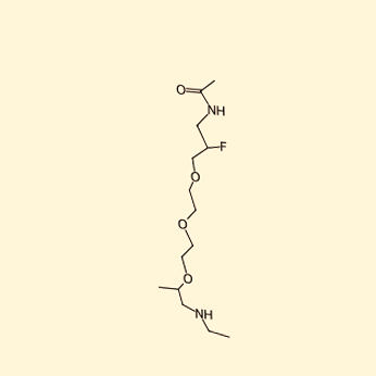 CCNCC(C)OCCOCCOCC(F)CNC(C)=O